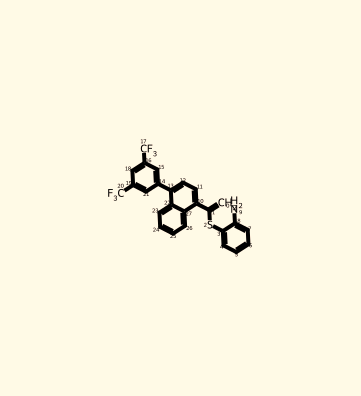 C=C(Sc1ccccc1N)c1ccc(-c2cc(C(F)(F)F)cc(C(F)(F)F)c2)c2ccccc12